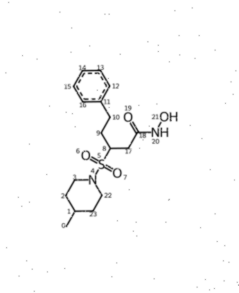 CC1CCN(S(=O)(=O)C(CCc2ccccc2)CC(=O)NO)CC1